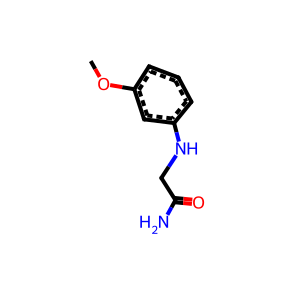 COc1cccc(NCC(N)=O)c1